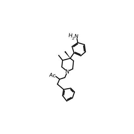 CC(=O)C(Cc1ccccc1)CN1CC[C@@](C)(c2cccc(N)c2)C(C)C1